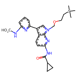 C[Si](C)(C)CCOCn1cc(-c2cccc(NC(=O)O)n2)c2ccc(NC(=O)C3CC3)nc21